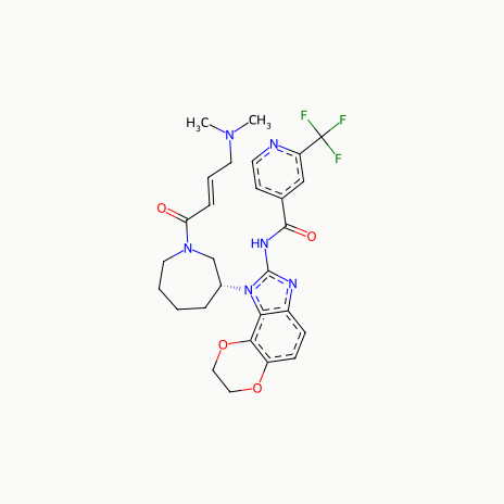 CN(C)C/C=C/C(=O)N1CCCC[C@@H](n2c(NC(=O)c3ccnc(C(F)(F)F)c3)nc3ccc4c(c32)OCCO4)C1